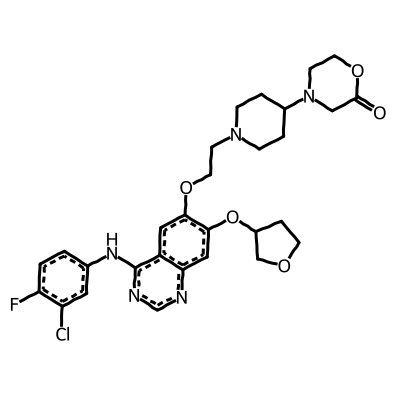 O=C1CN(C2CCN(CCOc3cc4c(Nc5ccc(F)c(Cl)c5)ncnc4cc3OC3CCOC3)CC2)CCO1